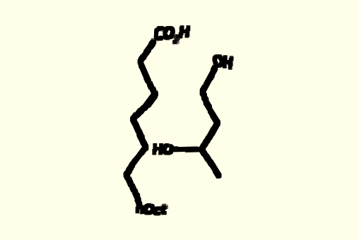 CC(O)CCO.CCCCCCCCCCCCCC(=O)O